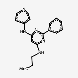 COCCNc1cc(Nc2ccncc2)nc(-c2ccccc2)n1